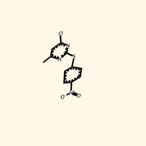 Cc1cc(Cl)nc(Sc2ccc([N+](=O)[O-])cc2)n1